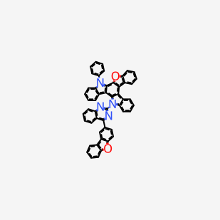 c1ccc(-n2c3ccccc3c3c2c2oc4ccccc4c2c2c4ccccc4n(-c4nc(-c5ccc6oc7ccccc7c6c5)c5ccccc5n4)c23)cc1